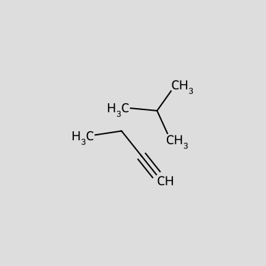 C#CCC.CC(C)C